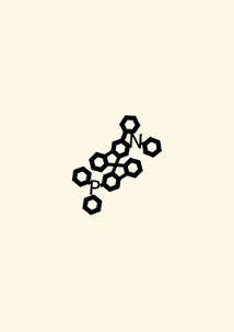 c1ccc(-n2c3ccccc3c3cc4c(cc32)C2(c3ccccc3-c3ccc(P(c5ccccc5)c5ccccc5)cc32)c2ccccc2-4)cc1